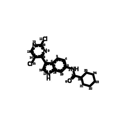 O=C(Nc1ccc2c(-c3nc(Cl)ncc3Cl)c[nH]c2c1)C1CCCCC1